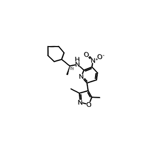 Cc1noc(C)c1-c1ccc([N+](=O)[O-])c(N[C@@H](C)C2CCCCC2)n1